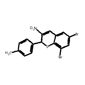 Cc1ccc(C2Sc3c(Br)cc(Br)cc3C=C2[N+](=O)[O-])cc1